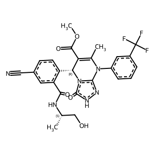 COC(=O)C1=C(C)N(c2cccc(C(F)(F)F)c2)c2n[nH]c(=O)n2[C@@H]1c1ccc(C#N)cc1C(=O)N[C@@H](C)CO